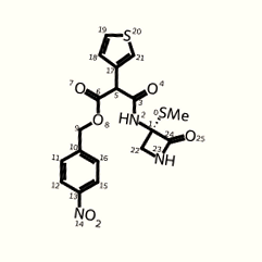 CS[C@@]1(NC(=O)C(C(=O)OCc2ccc([N+](=O)[O-])cc2)c2ccsc2)CNC1=O